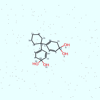 OC1(O)C=CC(C2(C3=CCC(O)(O)C=C3)CCCCC2)=CC1